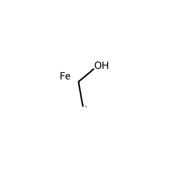 [CH2]CO.[Fe]